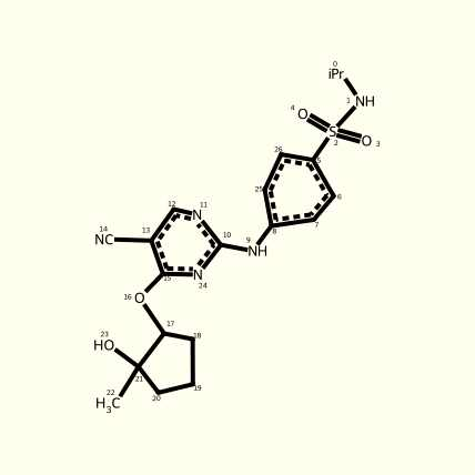 CC(C)NS(=O)(=O)c1ccc(Nc2ncc(C#N)c(OC3CCCC3(C)O)n2)cc1